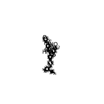 CN(c1ccc(S(=O)(=O)NC(=O)c2ccc(N3CCN(CC4=C(C56CC(C)(C5)C6)CC(C)(C)CC4)CC3)cc2Oc2cnc3[nH]ccc3c2)cc1[N+](=O)[O-])C1(F)CCOCC1